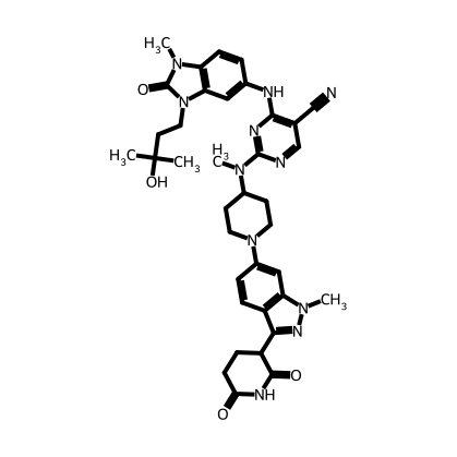 CN(c1ncc(C#N)c(Nc2ccc3c(c2)n(CCC(C)(C)O)c(=O)n3C)n1)C1CCN(c2ccc3c(C4CCC(=O)NC4=O)nn(C)c3c2)CC1